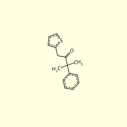 CC(C)(C(=O)Cc1cccs1)c1ccccc1